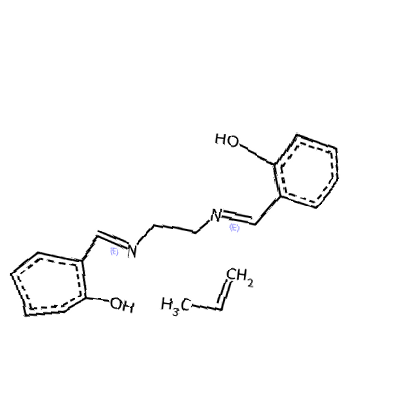 C=CC.Oc1ccccc1/C=N/CC/N=C/c1ccccc1O